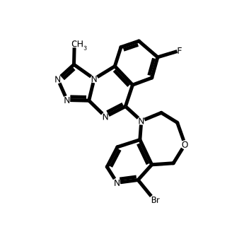 Cc1nnc2nc(N3CCOCc4c3ccnc4Br)c3cc(F)ccc3n12